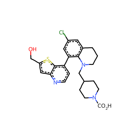 O=C(O)N1CCC(CN2CCCc3cc(Cl)cc(-c4ccnc5cc(CO)sc45)c32)CC1